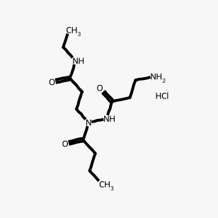 CCCC(=O)N(CCC(=O)NCC)NC(=O)CCN.Cl